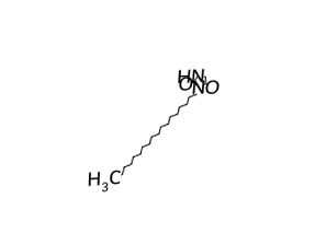 CCCCCCCCCCCCCCCCCCN1C(=O)CNC1=O